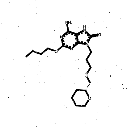 CCCCOc1nc(N)c2[nH]c(=O)n(CCCOC[C@H]3CCCCO3)c2n1